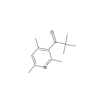 Cc1cc(C)c(C(=O)C(C)(C)C)c(C)n1